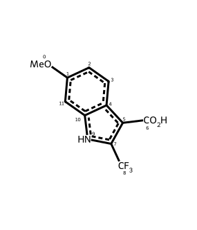 COc1ccc2c(C(=O)O)c(C(F)(F)F)[nH]c2c1